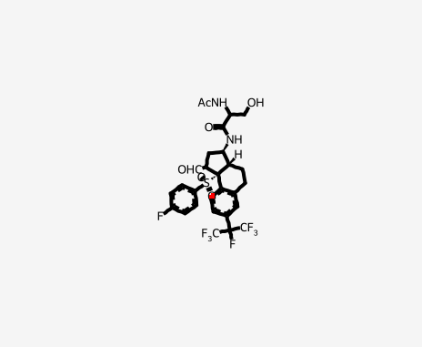 CC(=O)NC(CO)C(=O)N[C@@H]1CC(C=O)[C@]2(S(=O)(=O)c3ccc(F)cc3)c3ccc(C(F)(C(F)(F)F)C(F)(F)F)cc3CC[C@@H]12